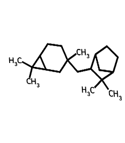 CC1(CC2C3CCC(C3)C2(C)C)CCC2C(C1)C2(C)C